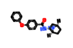 O=C(N[C@@H]1C[C@H]2CC[C@@H]1N2)c1ccc(Oc2ccccc2)cc1